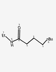 [CH2]CCCCCCC(=O)NCC